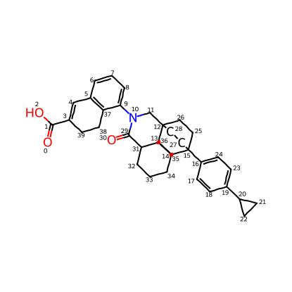 O=C(O)C1=Cc2cccc(N(CC34CCC(c5ccc(C6CC6)cc5)(CC3)CC4)C(=O)C3CCCCC3)c2CC1